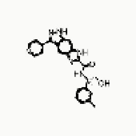 Cc1cccc([C@@H](CO)NC(=O)c2nc3cc4c(-c5ccncc5)n[nH]c4cc3[nH]2)c1